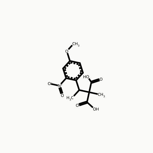 COc1ccc(C(C)C(C)(C(=O)O)C(=O)O)c([N+](=O)[O-])c1